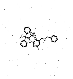 COC(c1ccccc1)(c1ccccc1)[C@H](Oc1nc(C)cc(COCc2ccccc2)n1)C(=O)O